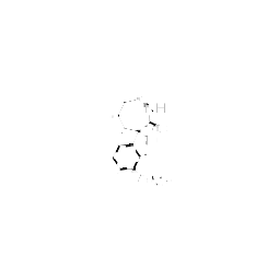 CCC1(c2cccc(OC)c2)CCCCNC1=O